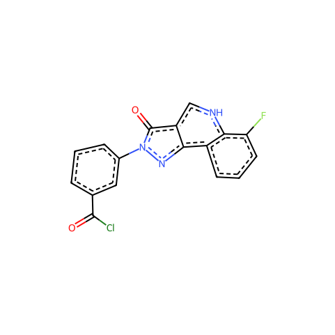 O=C(Cl)c1cccc(-n2nc3c4cccc(F)c4[nH]cc-3c2=O)c1